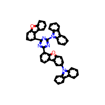 c1ccc2c(c1)oc1cccc(-c3nc(-c4cccc5c4oc4ccc(-n6c7ccccc7c7ccccc76)cc45)nc(-n4c5ccccc5c5ccccc54)n3)c12